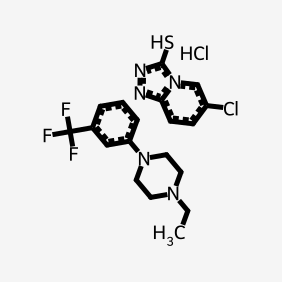 CCN1CCN(c2cccc(C(F)(F)F)c2)CC1.Cl.Sc1nnc2ccc(Cl)cn12